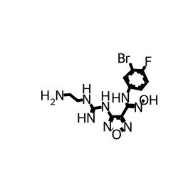 N=C(NCCN)Nc1nonc1/C(=N/O)Nc1ccc(F)c(Br)c1